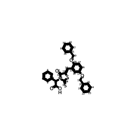 O=C(O)C(c1ccccc1)N1C(=O)C(=Cc2cc(OCc3ccccc3)ccc2OCc2ccccc2)SC1=S